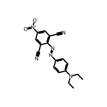 CCN(CC)c1ccc(N=Nc2c(C#N)cc([N+](=O)[O-])cc2C#N)cc1